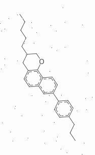 CCCCCC1COc2c(ccc3cc(-c4ccc(CCC)cc4)ccc23)C1